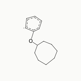 [c]1ccccc1OC1CCCCCCC1